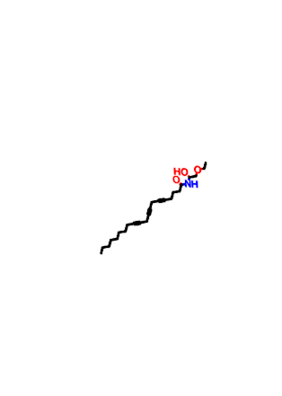 CCCCCCCCC#CCC#CCC#CCCCC(=O)NC(O)COCC